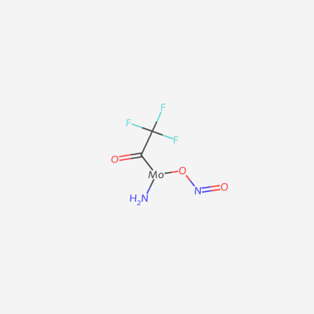 [NH2][Mo]([O]N=O)[C](=O)C(F)(F)F